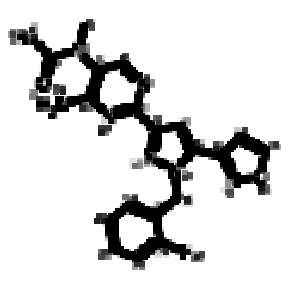 CN(C(=O)C(C)(C)C)c1cnc(-c2cc(-c3ccon3)n(Cc3ccccc3F)n2)nc1N